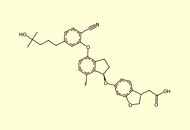 CC(C)(O)CCCc1ccc(C#N)c(Oc2ccc(F)c3c2CC[C@H]3Oc2ccc3c(c2)OCC3CC(=O)O)c1